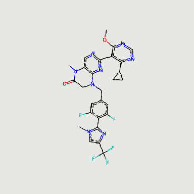 COc1ncnc(C2CC2)c1-c1ncc2c(n1)N(Cc1cc(F)c(-c3nc(C(F)(F)F)cn3C)c(F)c1)CC(=O)N2C